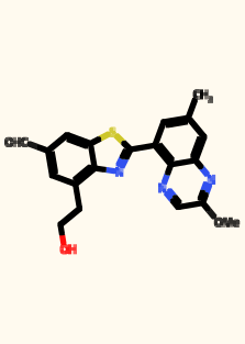 COc1cnc2c(-c3nc4c(CCO)cc(C=O)cc4s3)cc(C)cc2n1